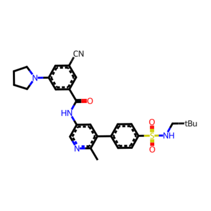 Cc1ncc(NC(=O)c2cc(C#N)cc(N3CCCC3)c2)cc1-c1ccc(S(=O)(=O)NCC(C)(C)C)cc1